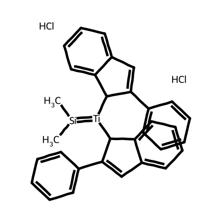 C[Si](C)=[Ti]([CH]1C(c2ccccc2)=Cc2ccccc21)[CH]1C(c2ccccc2)=Cc2ccccc21.Cl.Cl